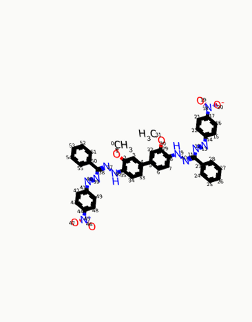 COc1cc(-c2ccc(NN=C(N=Nc3ccc([N+](=O)[O-])cc3)c3ccccc3)c(OC)c2)ccc1NN=C(N=Nc1ccc([N+](=O)[O-])cc1)c1ccccc1